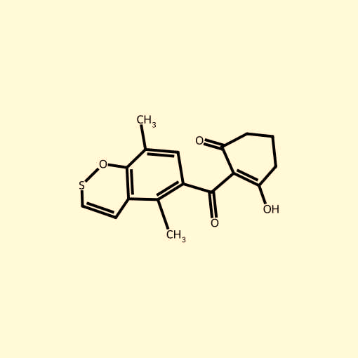 Cc1cc(C(=O)C2=C(O)CCCC2=O)c(C)c2c1OSC=C2